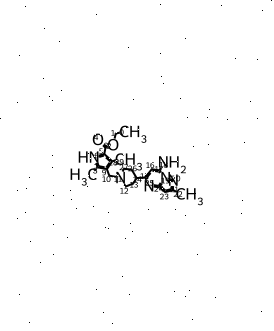 CCOC(=O)c1[nH]c(C)c(CN2CCC(c3cc(N)n4nc(C)cc4n3)CC2)c1C